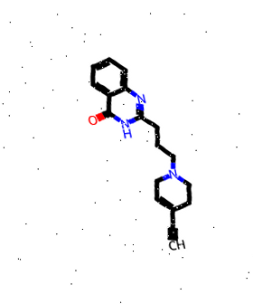 C#CC1=CCN(CCCc2nc3ccccc3c(=O)[nH]2)CC1